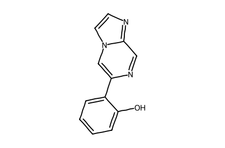 Oc1ccccc1-c1cn2ccnc2cn1